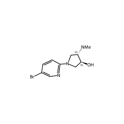 CN[C@H]1CN(c2ccc(Br)cn2)C[C@@H]1O